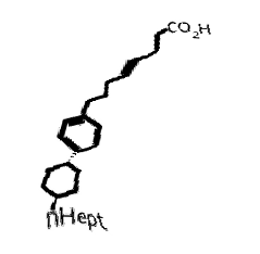 CCCCCCC[C@H]1CC[C@H](c2ccc(CCC/C=C/C=C/C(=O)O)cc2)CC1